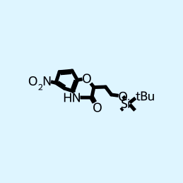 CC(C)(C)[Si](C)(C)OCCC1Oc2ccc([N+](=O)[O-])cc2NC1=O